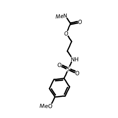 CNC(=O)OCCNS(=O)(=O)c1ccc(OC)cc1